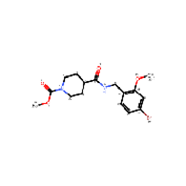 CC(C)(C)OC(=O)N1CCC(C(=O)NCc2ccc(Br)cc2OC(F)(F)F)CC1